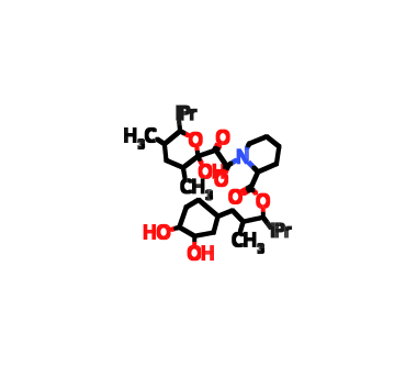 CC(C)C(OC(=O)C1CCCCN1C(=O)C(=O)C1(O)OC(C(C)C)C(C)CC1C)C(C)CC1CCC(O)C(O)C1